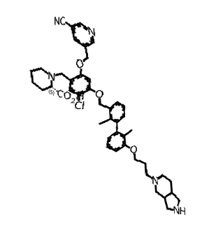 Cc1c(COc2cc(OCc3cncc(C#N)c3)c(CN3CCCC[C@H]3C(=O)O)cc2Cl)cccc1-c1cccc(OCCCN2CCC3CNCC3C2)c1C